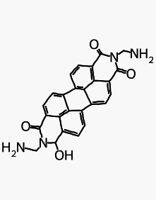 NCN1C(=O)c2ccc3c4ccc5c6c(ccc(c7ccc(c2c37)C1=O)c64)C(O)N(CN)C5=O